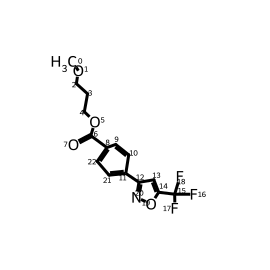 COCCCOC(=O)c1ccc(-c2cc(C(F)(F)F)on2)cc1